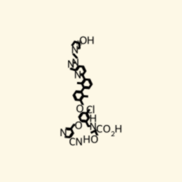 Cc1c(COc2cc(OCc3cncc(C#N)c3)c(CNC(C)(CO)C(=O)O)cc2Cl)cccc1-c1cccc(-c2ccc3c(cnn3CCN3CC[C@@H](O)C3)n2)c1C